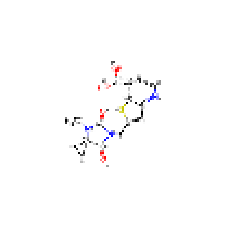 CN1C(=O)N(Cc2cc3nccc(B(O)O)c3s2)C(=O)C12CC2